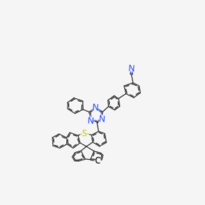 N#Cc1cccc(-c2ccc(-c3nc(-c4ccccc4)nc(-c4cccc5c4Sc4cc6ccccc6cc4C54c5ccccc5-c5ccccc54)n3)cc2)c1